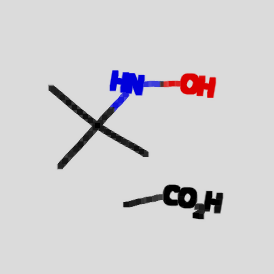 CC(=O)O.CC(C)(C)NO